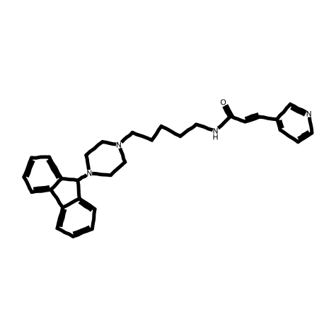 O=C(C=Cc1cccnc1)NCCCCCN1CCN(C2c3ccccc3-c3ccccc32)CC1